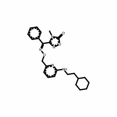 Cn1c(C(=NOCc2cccc(NCCC3CCCCC3)n2)c2ccccc2)noc1=O